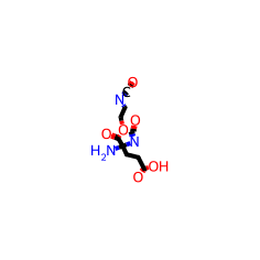 NC(CCC(=O)O)(N=C=O)C(=O)OCCN=C=O